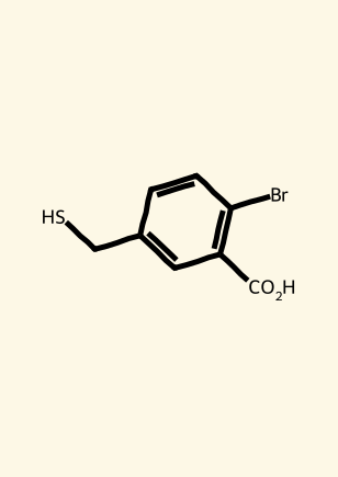 O=C(O)c1cc(CS)ccc1Br